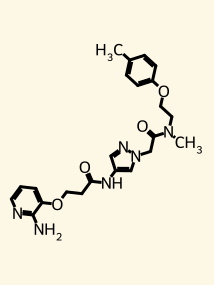 Cc1ccc(OCCN(C)C(=O)Cn2cc(NC(=O)CCOc3cccnc3N)cn2)cc1